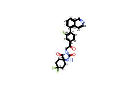 O=C(CN1C(=O)NC2(CCC(F)(F)CC2)C1=O)c1ccc(-c2cccc3cnccc23)c(F)c1